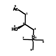 CC(=O)C[C@H](O)C[PH](C)(C)C